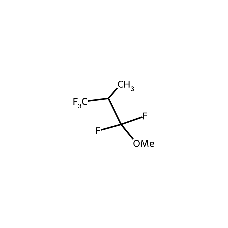 COC(F)(F)C(C)C(F)(F)F